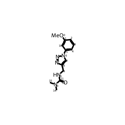 COc1cccc(-n2cc(CNC(=O)N(C)C)nn2)c1